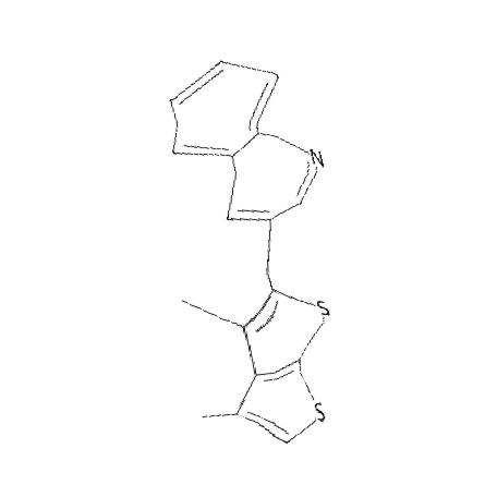 Cc1csc2sc(-c3cnc4ccccc4c3)c(C)c12